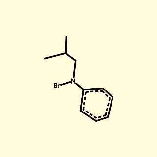 CC(C)CN(Br)c1ccccc1